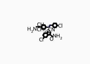 CC(C)(CN)c1ccc(/C(C#N)=C/c2ccc(Cl)cc2)cc1.NC(=O)c1coc2ccc(Cl)cc12